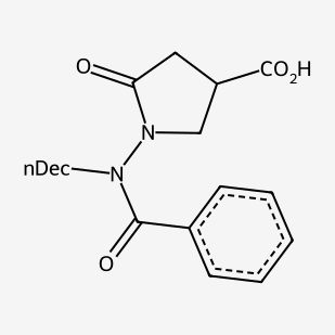 CCCCCCCCCCN(C(=O)c1ccccc1)N1CC(C(=O)O)CC1=O